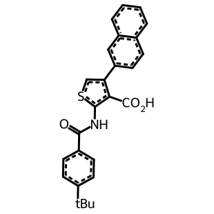 CC(C)(C)c1ccc(C(=O)Nc2scc(-c3ccc4ccccc4c3)c2C(=O)O)cc1